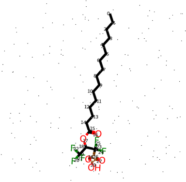 CCCCCCCCCCCCCCCC(=O)OC(C(F)(F)F)C(F)(F)S(=O)(=O)O